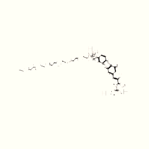 CCOCCOCCOCCOCCOCCOCCNS(=O)(=O)c1ccc(Oc2c(F)cc(/C=C(\C)C(=O)N=C(N)N)cc2F)cc1